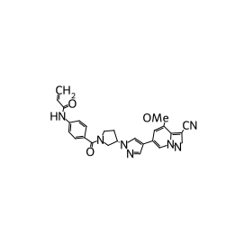 C=CC(=O)Nc1ccc(C(=O)N2CC[C@H](n3cc(-c4cc(OC)c5c(C#N)cnn5c4)cn3)C2)cc1